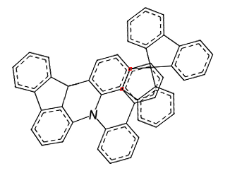 CC12c3ccccc3-c3cccc(c31)N(c1ccccc1-c1ccccc1)c1c2ccc2c1-c1ccccc1C21c2ccccc2-c2ccccc21